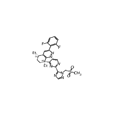 CC[C@H]1CC[C@](CC)(c2ccnc(-c3ncnn3CS(C)(=O)=O)n2)c2nnc(-c3c(F)cccc3F)cc21